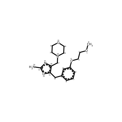 COCCOc1cccc(Cc2oc(N)nc2CN2CCOCC2)c1